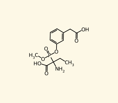 CCC(N)(C(=O)O)P(=O)(OC)Oc1cccc(CC(=O)O)c1